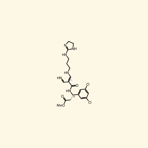 COC(=O)C[C@H](NC(=O)/C(C=N)=C/NCCCNC1=NCCN1)c1cc(Cl)cc(Cl)c1